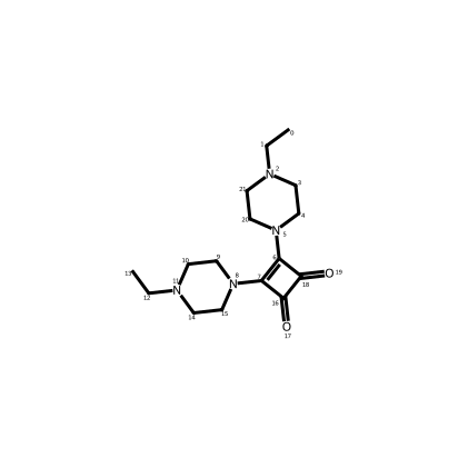 CCN1CCN(c2c(N3CCN(CC)CC3)c(=O)c2=O)CC1